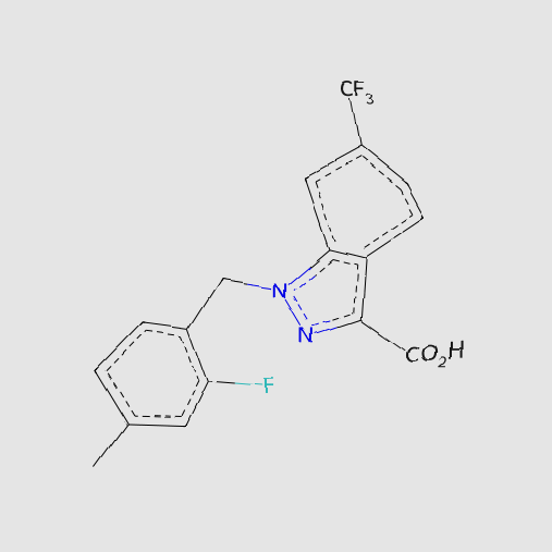 Cc1ccc(Cn2nc(C(=O)O)c3ccc(C(F)(F)F)cc32)c(F)c1